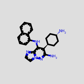 Nc1nn2ccnc2c(Nc2cccc3ccccc23)c1[C@H]1CC[C@H](N)CC1